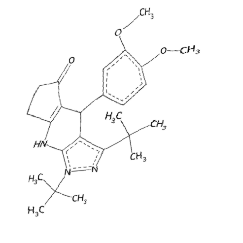 COc1ccc(C2C3=C(CCC3=O)Nc3c2c(C(C)(C)C)nn3C(C)(C)C)cc1OC